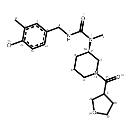 Cc1cc(CNC(=O)N(C)[C@@H]2CCCN(C(=O)C3CCOC3)C2)ccc1Cl